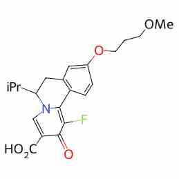 COCCCOc1ccc2c(c1)CC(C(C)C)n1cc(C(=O)O)c(=O)c(F)c1-2